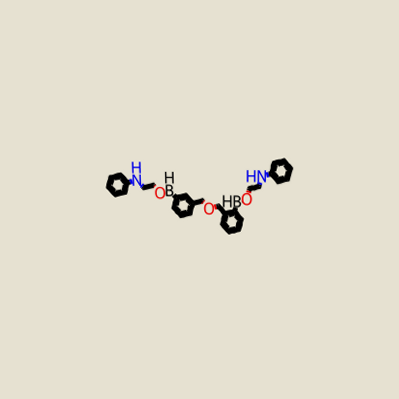 B(OCCNc1ccccc1)c1cccc(COCc2ccccc2BOCCNc2ccccc2)c1